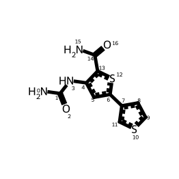 NC(=O)Nc1cc(-c2ccsc2)sc1C(N)=O